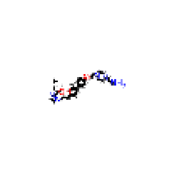 CC(O)c1nccn1CC=Cc1ccc(-c2ccc(OCCN3CCN(CCN)CC3)cc2)cc1